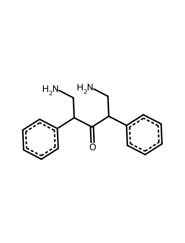 NCC(C(=O)C(CN)c1ccccc1)c1ccccc1